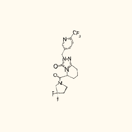 O=C(C1CCCc2nn(Cc3ccc(C(F)(F)F)nc3)c(=O)n21)N1CCC(F)(F)C1